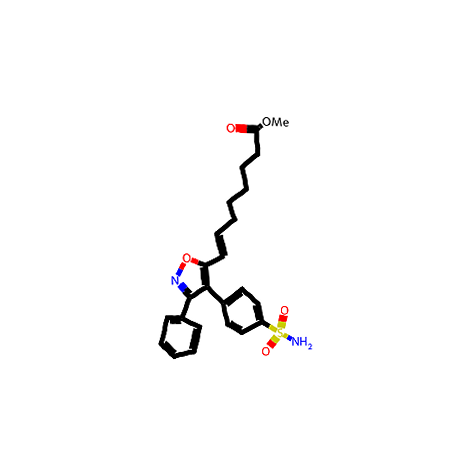 COC(=O)CCCCC/C=C/c1onc(-c2ccccc2)c1-c1ccc(S(N)(=O)=O)cc1